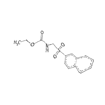 CCOC(=O)NCS(=O)(=O)c1ccc2ccccc2c1